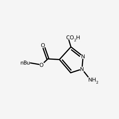 CCCCOC(=O)c1cn(N)nc1C(=O)O